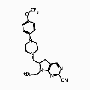 CC(C)(C)CN1c2nc(C#N)ncc2CC1CN1CCN(c2ccc(OC(F)(F)F)cc2)CC1